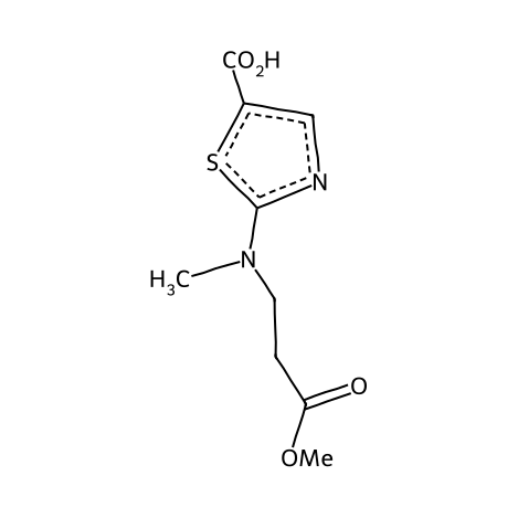 COC(=O)CCN(C)c1ncc(C(=O)O)s1